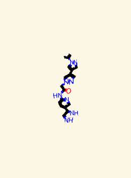 CC(C)n1cc(-c2cnn(CC(=O)Nc3ccc(C(=N)C=N)cn3)c2)cn1